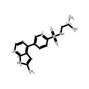 Cc1cc2c(-c3ccc(S(=O)(=O)NC[C@H](C)O)nc3)ccnc2[nH]1